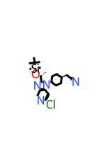 C[C@@H](O[Si](C)(C)C(C)(C)C)c1nc2cnc(Cl)cc2n1[C@H]1CC[C@H](CC#N)CC1